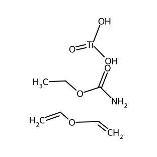 C=COC=C.CCOC(N)=O.[O]=[Ti]([OH])[OH]